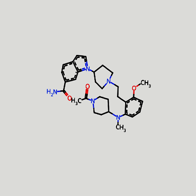 COc1cccc(N(C)C2CCN(C(C)=O)CC2)c1CCN1CCC(n2ccc3ccc(C(N)=O)cc32)CC1